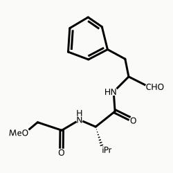 COCC(=O)N[C@H](C(=O)NC(C=O)Cc1ccccc1)C(C)C